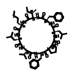 CC[C@H](C)[C@@H]1NC(=O)[C@H](Cc2ccccc2)NC(=O)[C@H](CC(C)C)NC(=O)[C@@H]2CCCN2C(=O)[C@H](Cc2ccccc2)NC(=O)[C@H](C(C)C)NC(=O)[C@H](CC(C)C)NC(=O)[C@H](CCSC)NC1=O